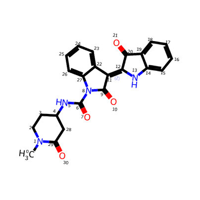 CN1CCC(NC(=O)N2C(=O)/C(=C3\Nc4ccccc4C3=O)c3ccccc32)CC1=O